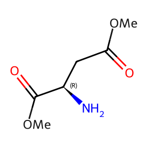 COC(=O)C[C@@H](N)C(=O)OC